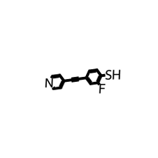 Fc1cc(C#Cc2ccncc2)ccc1S